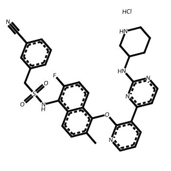 Cc1ccc2c(NS(=O)(=O)Cc3cccc(C#N)c3)c(F)ccc2c1Oc1ncccc1-c1ccnc(NC2CCCNC2)n1.Cl